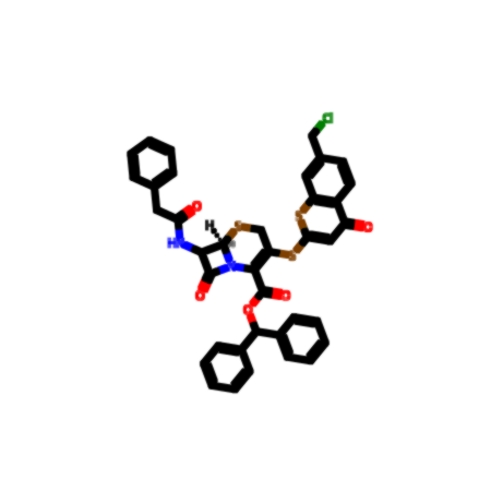 O=C(Cc1ccccc1)NC1C(=O)N2C(C(=O)OC(c3ccccc3)c3ccccc3)=C(Sc3cc(=O)c4ccc(CCl)cc4s3)CS[C@H]12